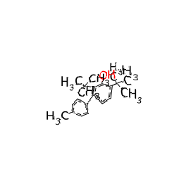 Cc1ccc(-c2ccc(C(C)(C)C)c(O)c2C(C)(C)C)cc1